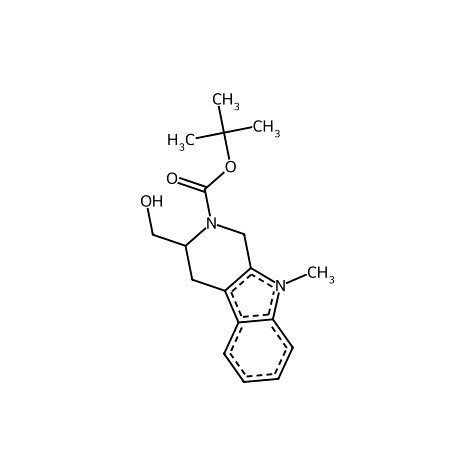 Cn1c2c(c3ccccc31)CC(CO)N(C(=O)OC(C)(C)C)C2